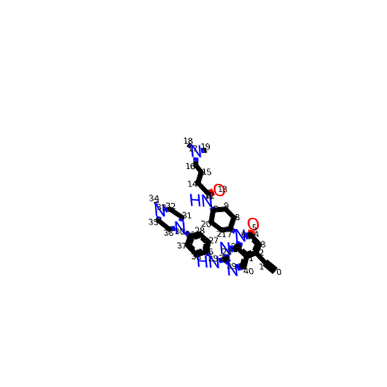 C#Cc1cc(=O)n(C2CCC(NC(=O)CCCN(C)C)CC2)c2nc(Nc3ccc(N4CCN(C)CC4)cc3)ncc12